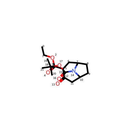 CCOC(=O)C1CC2CCC(CC1=O)N2C(=O)OC(C)(C)C